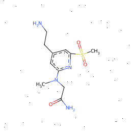 CN(CC(N)=O)c1cc(CCN)cc(S(C)(=O)=O)n1